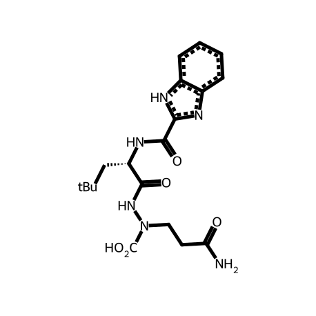 CC(C)(C)C[C@H](NC(=O)c1nc2ccccc2[nH]1)C(=O)NN(CCC(N)=O)C(=O)O